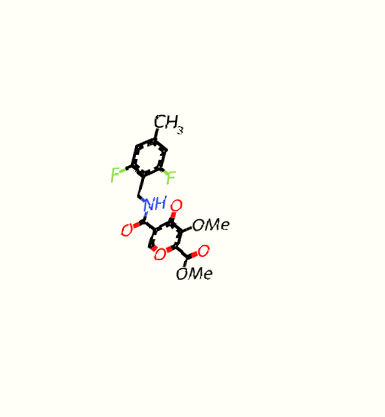 COC(=O)c1occ(C(=O)NCc2c(F)cc(C)cc2F)c(=O)c1OC